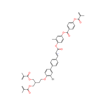 C=C(C)C(=O)OCC(CCOc1ccc(-c2ccc(/C=C/C(=O)Oc3ccc(OC(=O)c4ccc(OC(=O)C(=C)C)cc4)cc3C)cc2)cc1CC)COC(=O)C(=C)C